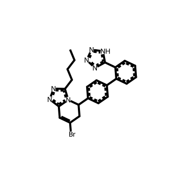 CCCCc1nnc2n1C(c1ccc(-c3ccccc3-c3nnn[nH]3)cc1)CC(Br)=C2